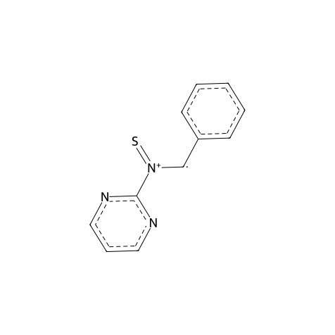 S=[N+]([CH]c1ccccc1)c1ncccn1